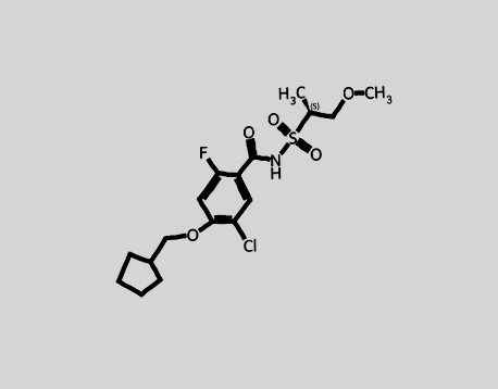 COC[C@H](C)S(=O)(=O)NC(=O)c1cc(Cl)c(OCC2CCCC2)cc1F